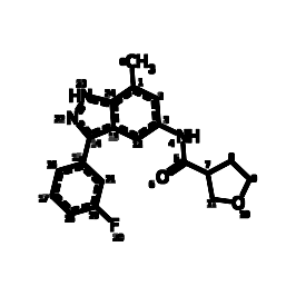 Cc1cc(NC(=O)C2CCOC2)cc2c(-c3cccc(F)c3)n[nH]c12